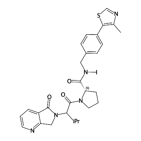 Cc1ncsc1-c1ccc(CN(I)C(=O)[C@@H]2CCCN2C(=O)C(C(C)C)N2Cc3ncccc3C2=O)cc1